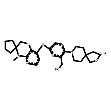 C[C@H]1CC2(CCN(c3ncc(Sc4ccnc5c4OCC4(CCCC4)N5C)nc3CO)CC2)CO1